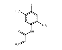 C=CC(=O)Nc1cc(C)c(I)cc1C